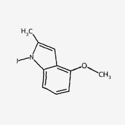 COc1cccc2c1cc(C)n2I